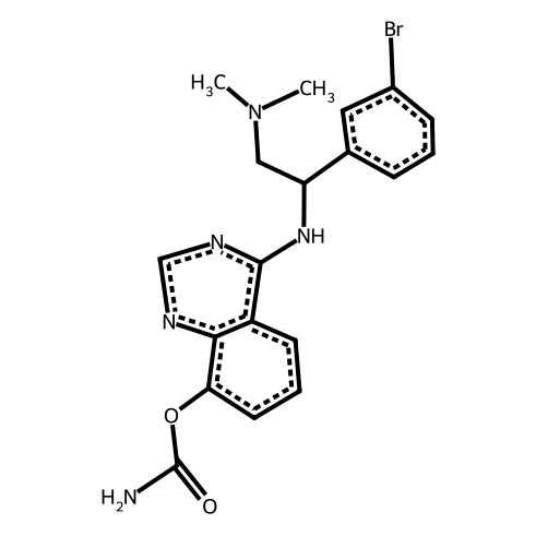 CN(C)CC(Nc1ncnc2c(OC(N)=O)cccc12)c1cccc(Br)c1